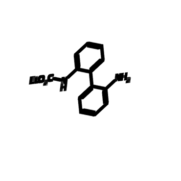 CCOC(=O)Nc1ccccc1-c1ccccc1N